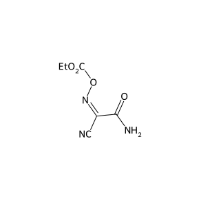 CCOC(=O)ON=C(C#N)C(N)=O